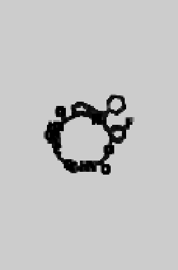 CN1CCCCCNC(=O)COc2ccc(F)cc2-c2c(C3CCCCC3)c3ccc(cc3n2C)C(=O)NS1(=O)=O